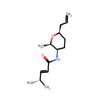 C=CC[C@H]1CC[C@@H](NC(=O)C=C[C@H](C)OC(C)=O)[C@@H](C)O1